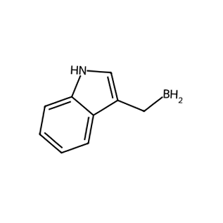 BCc1c[nH]c2ccccc12